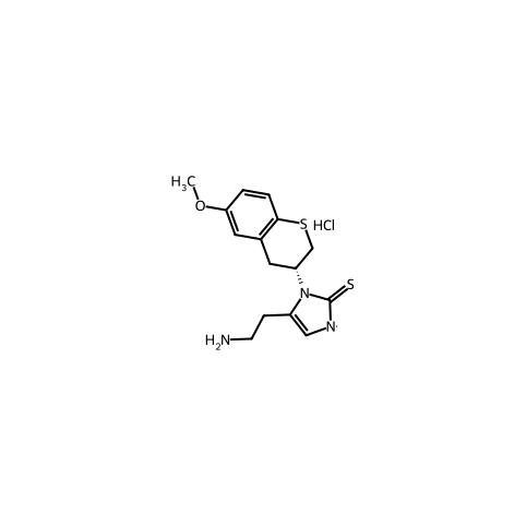 COc1ccc2c(c1)C[C@@H](N1C(=S)[N]C=C1CCN)CS2.Cl